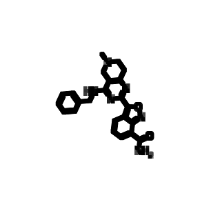 CN1CCc2nc(-c3onc4c(C(N)=O)cccc34)nc(NCc3ccccc3)c2C1